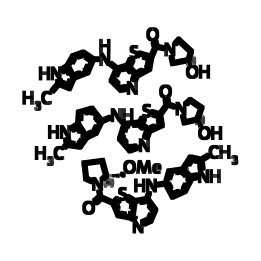 COC[C@H]1CCCN1C(=O)c1cc2nccc(Nc3ccc4[nH]c(C)cc4c3)c2s1.Cc1cc2cc(Nc3ccnc4cc(C(=O)N5CC[C@@H](O)C5)sc34)ccc2[nH]1.Cc1cc2cc(Nc3ccnc4cc(C(=O)N5CC[C@H](O)C5)sc34)ccc2[nH]1